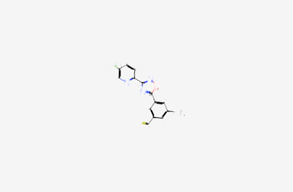 N#Cc1cc(C=S)cc(-c2nc(-c3ccc(F)cn3)no2)c1